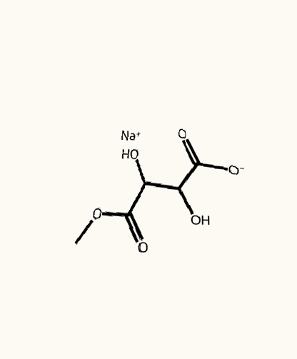 COC(=O)C(O)C(O)C(=O)[O-].[Na+]